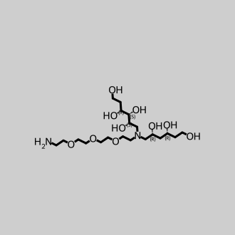 NCCOCCOCCOCCN(C[C@H](O)C[C@H](O)CCO)C[C@H](O)[C@@H](O)[C@H](O)CCO